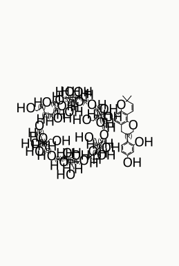 CC1(C)C=Cc2c(ccc3c2OC[C@@H](c2ccc(O)cc2O)C3)O1.OC[C@H]1O[C@@H]2O[C@H]3[C@H](O)[C@@H](O)[C@@H](O[C@H]4[C@H](O)[C@@H](O)[C@@H](O[C@H]5[C@H](O)[C@@H](O)[C@@H](O[C@H]6[C@H](O)[C@@H](O)[C@@H](O[C@H]7[C@H](O)[C@@H](O)[C@@H](O[C@H]1[C@H](O)[C@H]2O)O[C@@H]7CO)O[C@@H]6CO)O[C@@H]5CO)O[C@@H]4CO)O[C@@H]3CO